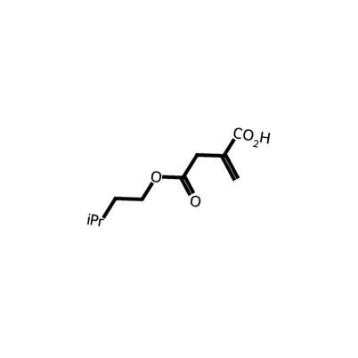 C=C(CC(=O)OCCC(C)C)C(=O)O